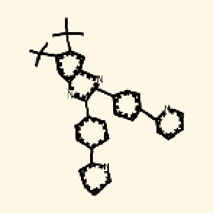 CC(C)(C)c1cc2nc(-c3ccc(-c4ccccn4)cc3)c(-c3ccc(-c4ccccn4)cc3)nc2cc1C(C)(C)C